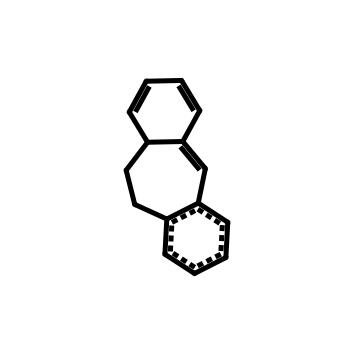 C1=CC2=Cc3ccccc3CCC2C=C1